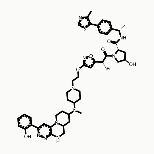 Cc1ncsc1-c1ccc([C@H](C)NC(=O)[C@@H]2C[C@@H](O)CN2C(=O)[C@@H](c2cc(OCCN3CCC(N(C)C4CCN5c6cc(-c7ccccc7O)nnc6NCC5C4)CC3)no2)C(C)C)cc1